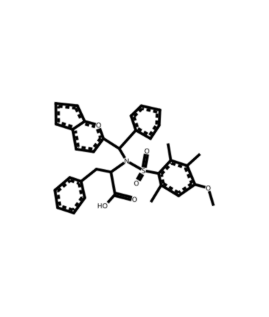 COc1cc(C)c(S(=O)(=O)N(C(Cc2ccccc2)C(=O)O)C(c2ccccc2)c2ccc3cccc-3o2)c(C)c1C